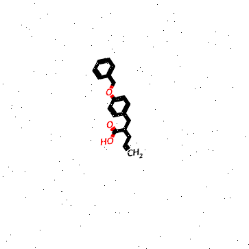 C=CCC(Cc1ccc(OCc2ccccc2)cc1)C(=O)O